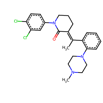 C/C(=C1/CCCN(c2ccc(Cl)c(Cl)c2)C1=O)c1ccccc1N1CCN(C)CC1